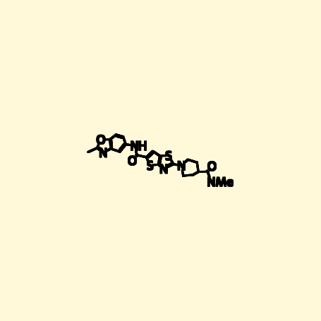 CNC(=O)C1CCN(c2nc3sc(C(=O)Nc4ccc5oc(C)nc5c4)cc3s2)CC1